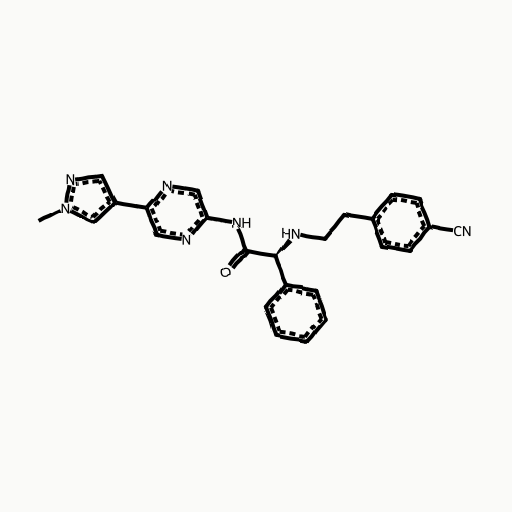 Cn1cc(-c2cnc(NC(=O)[C@@H](NCCc3ccc(C#N)cc3)c3ccccc3)cn2)cn1